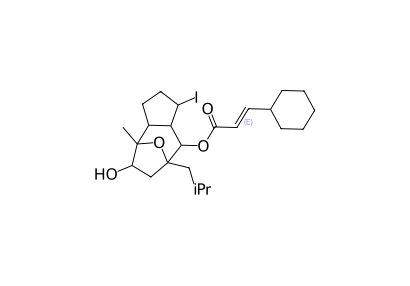 CC(C)CC12CC(O)C(C)(O1)C1CCC(I)C1C2OC(=O)/C=C/C1CCCCC1